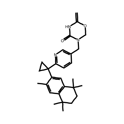 C=C1NC(=O)N(Cc2ccc(C3(c4cc5c(cc4C)C(C)(C)CCC5(C)C)CC3)nc2)CO1